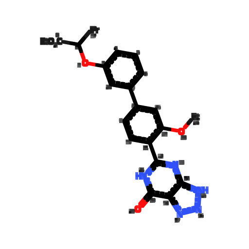 CCOC(=O)C(Oc1cccc(-c2ccc(-c3nc4[nH]nnc4c(=O)[nH]3)c(OCC)c2)c1)C(C)C